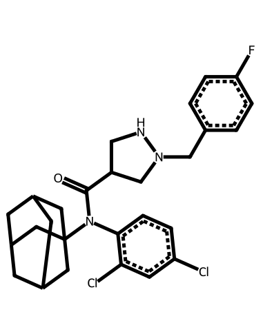 O=C(C1CNN(Cc2ccc(F)cc2)C1)N(c1ccc(Cl)cc1Cl)C12CC3CC(CC(C3)C1)C2